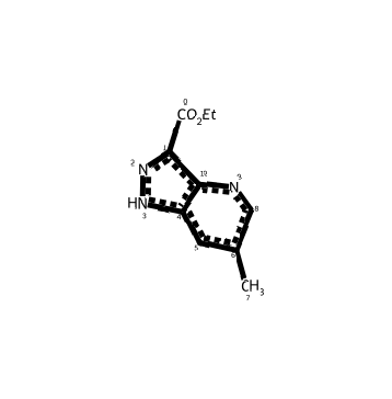 CCOC(=O)c1n[nH]c2cc(C)cnc12